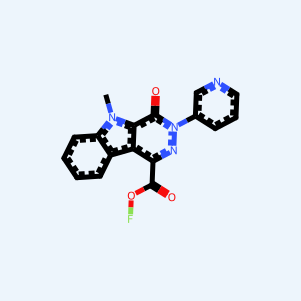 Cn1c2ccccc2c2c(C(=O)OF)nn(-c3cccnc3)c(=O)c21